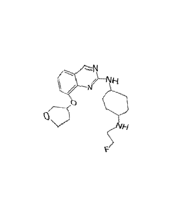 FCCNC1CCC(Nc2ncc3cccc(OC4CCOC4)c3n2)CC1